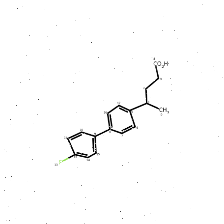 CC(CCC(=O)O)c1ccc(-c2ccc(F)cc2)cc1